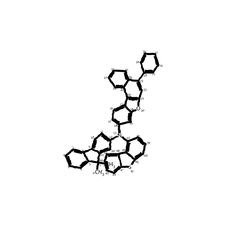 CC1(C)c2ccccc2-c2ccc(N(c3ccc4c(c3)oc3cc(-c5ccccc5)c5ccccc5c34)c3cccc4sc5ccccc5c34)cc21